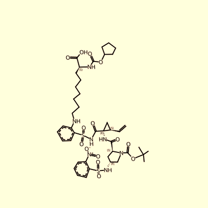 C=C[C@@H]1C[C@]1(NC(=O)[C@@H]1C[C@@H](NS(=O)(=O)c2ccccc2[N+](=O)[O-])CN1C(=O)OC(C)(C)C)C(=O)NS(=O)(=O)c1ccccc1NCCCCCCC[C@H](NC(=O)OC1CCCC1)C(=O)O